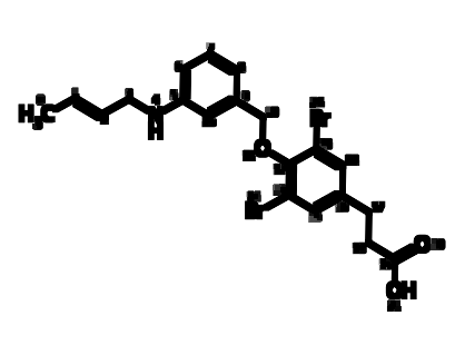 CC=CCNc1cccc(COc2c(Br)cc(CCC(=O)O)cc2Br)c1